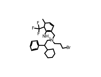 CC1C=CC(CN(CCCBr)CC(c2ccccc2)C2CCCCC2)=C(N)C1C(F)(F)F